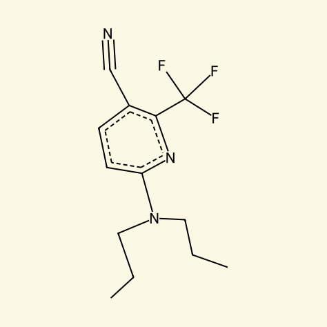 CCCN(CCC)c1ccc(C#N)c(C(F)(F)F)n1